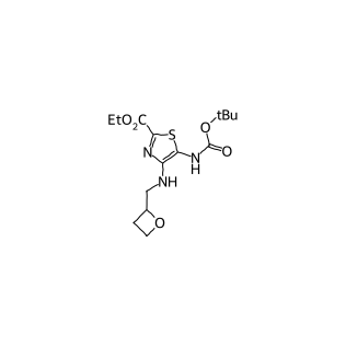 CCOC(=O)c1nc(NCC2CCO2)c(NC(=O)OC(C)(C)C)s1